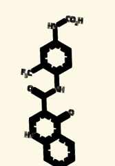 O=C(O)Nc1ccc(NC(=O)c2c[nH]c3ccccc3c2=O)c(C(F)(F)F)c1